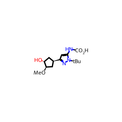 CO[C@@H]1C[C@H](c2cc(NC(=O)O)n(C(C)(C)C)n2)C[C@H]1O